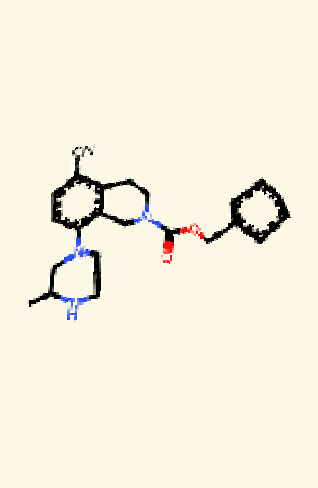 CC1CN(c2ccc(C#N)c3c2CN(C(=O)OCc2ccccc2)CC3)CCN1